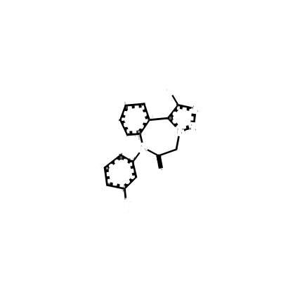 Cc1nnn2c1-c1ccccc1N(c1cccc(Br)c1)C(=O)C2